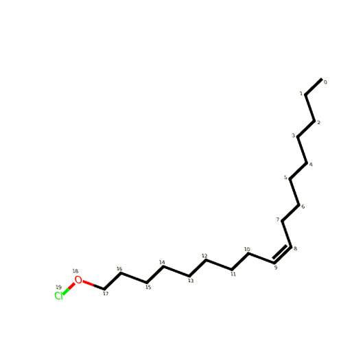 CCCCCCCC/C=C\CCCCCCCCOCl